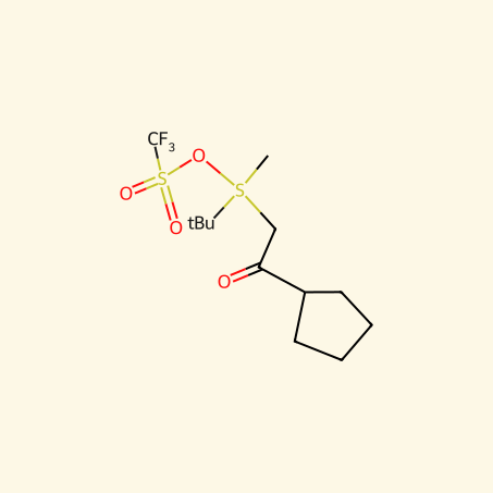 CC(C)(C)S(C)(CC(=O)C1CCCC1)OS(=O)(=O)C(F)(F)F